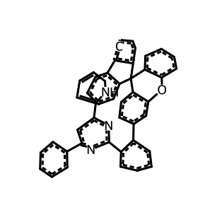 C1=CCNC(c2cc(-c3ccccc3)nc(-c3ccccc3-c3ccc4c(c3)Oc3ccccc3C43c4ccccc4-c4ccccc43)n2)=C1